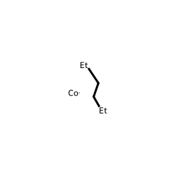 [CH2]CCCCC.[Co]